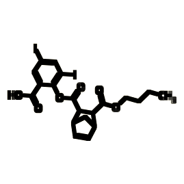 CCCCOC(=O)C1C2C=CC(C2)C1C(=O)Oc1c(I)cc(I)cc1C(=O)O